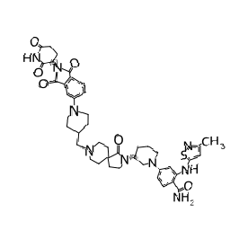 Cc1cc(Nc2cc(N3CCC[C@@H](N4CCC5(CCN(CC6CCN(c7ccc8c(c7)C(=O)N([C@H]7CCC(=O)NC7=O)C8=O)CC6)CC5)C4=O)C3)ccc2C(N)=O)sn1